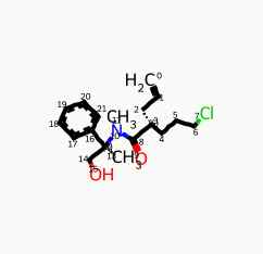 C=CC[C@H](CCCCl)C(=O)N(C)[C@@](C)(CO)c1ccccc1